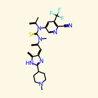 C=C(/C=c1/nc(C2CCN(C)CC2)[nH]c1=C)N(C)C(=S)N(C(=C)C)c1cnc(C#N)c(C(F)(F)F)c1